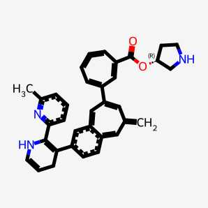 C=C1C=C(C2=CC=C=CC(C(=O)O[C@@H]3CCNC3)=C2)C=c2cc(C3=C(c4cccc(C)n4)NC=CC3)ccc2=C1